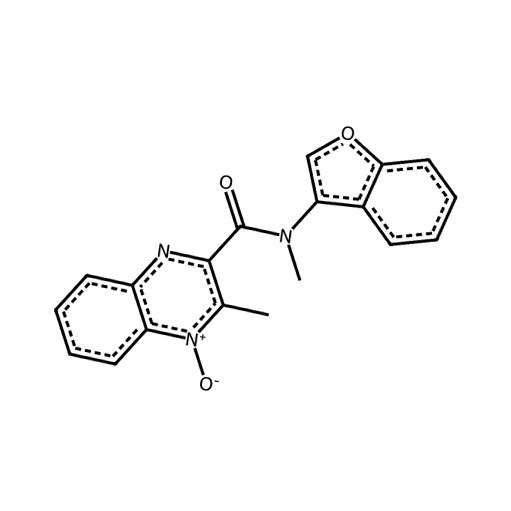 Cc1c(C(=O)N(C)c2coc3ccccc23)nc2ccccc2[n+]1[O-]